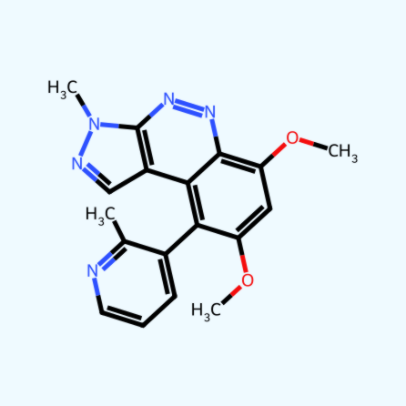 COc1cc(OC)c2nnc3c(cnn3C)c2c1-c1cccnc1C